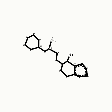 CN(CCC1CCc2ccccc2C1O)CC1CCCCC1